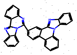 c1ccc2c(c1)nc(-c1ccc3c4ccccc4n4c5ccccc5nc4c3c1)n1c3ccccc3nc21